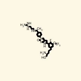 C[C@H](NCCCNC(=N)N)c1ccc(-n2cc3cc(-c4cc(CCC[C@@H](N)CO)cc(OC(F)(F)F)c4F)[nH]c3nc2=O)cc1